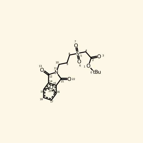 CC(C)(C)OC(=O)CS(=O)(=O)CCCN1C(=O)c2c(c3ccc2o3)C1=O